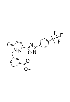 COC(=O)c1cccc(Cn2nc(-c3nc(-c4ccc(C(C)(C)C(F)(F)F)cc4)no3)ccc2=O)c1